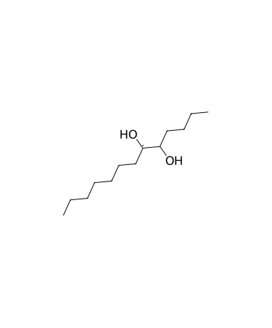 CCCCCCC[C](O)C(O)CCCC